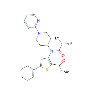 CCCC(CC)C(=O)N(c1cc(C2=CCCCC2)sc1C(=O)OC)C1CCN(c2ncccn2)CC1